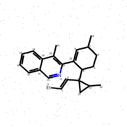 CCC=CC1(C2CCC(C)C=C2c2ncc3ccccc3c2C)CC1C